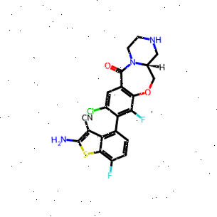 N#Cc1c(N)sc2c(F)ccc(-c3c(Cl)cc4c(c3F)OC[C@H]3CNCCN3C4=O)c12